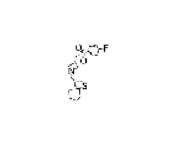 O=S(=O)(CC1CN(Cc2csc3c2CCCC3)C1)c1ccc(F)cc1